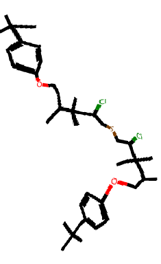 CC(COc1ccc(C(C)(C)C)cc1)C(C)(C)C(Cl)CSCC(Cl)C(C)(C)C(C)COc1ccc(C(C)(C)C)cc1